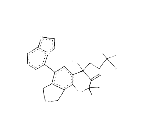 CC1(C)Nc2c(cc(-c3cccc4nccn34)c3c2CCC3)C(C)(CCC(F)(F)F)C1=O